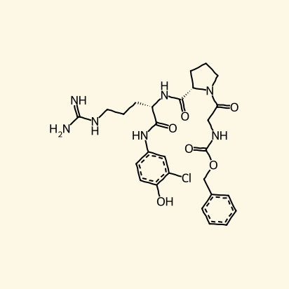 N=C(N)NCCC[C@H](NC(=O)[C@@H]1CCCN1C(=O)CNC(=O)OCc1ccccc1)C(=O)Nc1ccc(O)c(Cl)c1